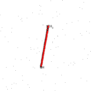 CC(=S)SSSSSSSSSSSSSSSSSSSSSSSSSSSSSSSSSSSSSSSSSSSSSSSSSSSSSSSSSSSSSSS